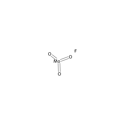 [F].[O]=[Mo](=[O])=[O]